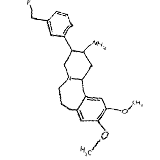 COc1cc2c(cc1OC)C1CC(N)C(c3cccc(CF)c3)CN1CC2